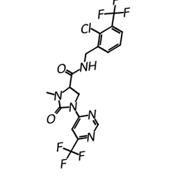 CN1C(=O)N(c2cc(C(F)(F)F)ncn2)CC1C(=O)NCc1cccc(C(F)(F)F)c1Cl